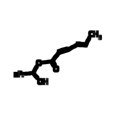 CC=CC=CC(=O)OC(O)CCC